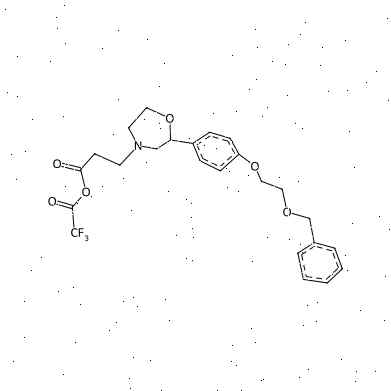 O=C(CCN1CCOC(c2ccc(OCCOCc3ccccc3)cc2)C1)OC(=O)C(F)(F)F